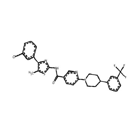 Cc1sc(NC(=O)c2ccc(N3CCC(c4cccc(C(F)(F)F)c4)CC3)nc2)nc1-c1cccc(Cl)c1